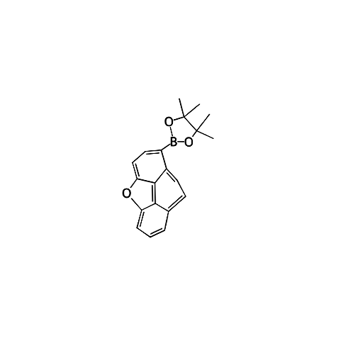 CC1(C)OB(c2ccc3oc4cccc5ccc2c3c54)OC1(C)C